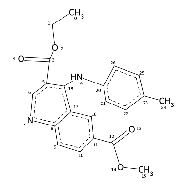 CCOC(=O)c1cnc2ccc(C(=O)OC)cc2c1Nc1ccc(C)cc1